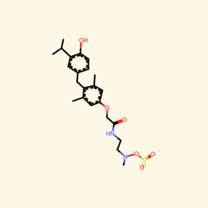 Cc1cc(OCC(=O)NCCN(C)O[SH](=O)=O)cc(C)c1Cc1ccc(O)c(C(C)C)c1